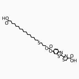 O=C(O)CCCCCCCCCCCCCCCSCCCOC(=O)Oc1ccc2nc(C3=N[C@@H](C(=O)O)CS3)sc2c1